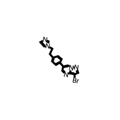 Brc1cnn2cc(-c3ccc(CCn4ccnc4)cc3)cnc12